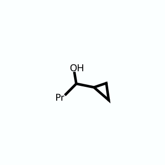 O[CH]([Pr])C1CC1